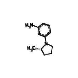 C[C@H]1CCCN1c1cccc(N)c1